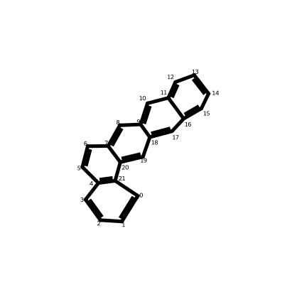 [c]1cccc2ccc3cc4cc5ccccc5cc4cc3c12